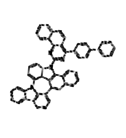 c1ccc(-c2ccc(-c3nc(-n4c5cccc6c5c5c(cc7ccccc7c54)c4cccc5c7ccccc7n6c45)nc4c3ccc3ccccc34)cc2)cc1